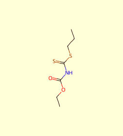 CCCSC(=S)NC(=O)OCC